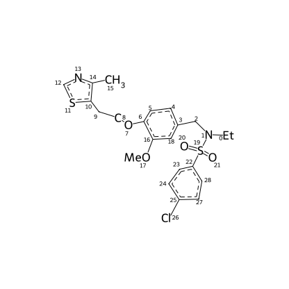 CCN(Cc1ccc(OCCc2scnc2C)c(OC)c1)S(=O)(=O)c1ccc(Cl)cc1